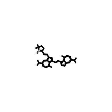 Cc1ccc(C(C)C)cc2ccc(/C=C/c3cc(/C=C/C4=[N+]([O-])C(C)(C)CC4)c4cc(C(C)C)ccc(C)c3-4)c1-2